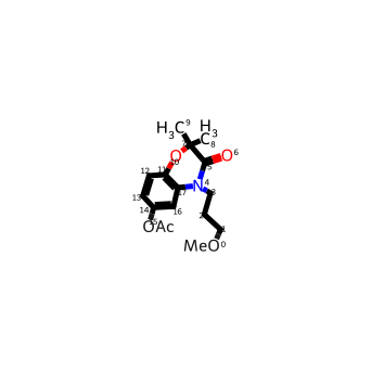 COCCCN1C(=O)C(C)(C)Oc2ccc(OC(C)=O)cc21